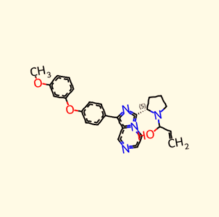 C=CC(O)N1CCC[C@H]1c1nc(-c2ccc(Oc3cccc(OC)c3)cc2)c2cnccn12